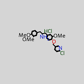 COc1ccc(CC(N)Cc2ccc(OCc3ccc(Cl)nc3)c(OC)c2)cc1OC.Cl